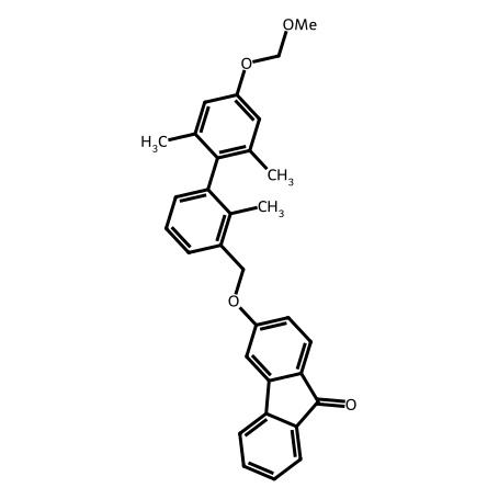 COCOc1cc(C)c(-c2cccc(COc3ccc4c(c3)-c3ccccc3C4=O)c2C)c(C)c1